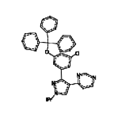 CC(C)n1cc(-c2ccncn2)c(-c2cc(Cl)cc(OC(c3ccccc3)(c3ccccc3)c3ccccc3)c2)n1